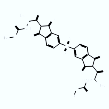 CC[C@H](C)[C@H](NC(=O)OC(C)(C)C)C(=O)C1C(=O)c2ccc(S(=O)(=O)c3ccc4c(c3)C(=O)C(C(=O)[C@@H](NC(=O)OC(C)(C)C)[C@@H](C)CC)C4=O)cc2C1=O